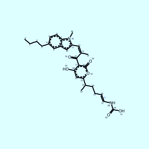 CCCCc1ccc2c(c1)cc(C=C(C)C(=O)c1c(O)cc(C(C)CC/C=C/NC(=O)O)oc1=O)n2C